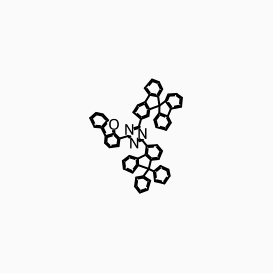 c1ccc(C2(c3ccccc3)c3ccccc3-c3c(-c4nc(-c5ccc6c(c5)C5(c7ccccc7-c7ccccc75)c5ccccc5-6)nc(-c5cccc6c5oc5ccccc56)n4)cccc32)cc1